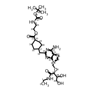 CCNC(=O)[C@@H](OCn1cnc2c(N)nc(CC3CCC(C(=O)OCCNC(=O)OC(C)(C)C)CC3)nc21)C(O)CO